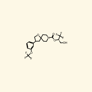 O=C(O[C@H](CO)C(F)(F)F)N1CCC2(CC1)CC(c1cccc(OC(F)(F)F)c1)CO2